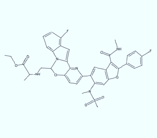 CCOC(=O)C(C)NCC1Oc2ccc(-c3cc4c(C(=O)NC)c(-c5ccc(F)cc5)oc4cc3N(C)S(C)(=O)=O)nc2-c2cc3c(F)cccc3n21